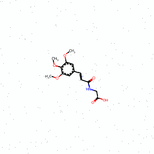 COc1cc(/C=C/C(=O)NCC(=O)O)cc(OC)c1OC